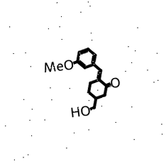 COc1cccc(C=C2CCC(CO)CC2=O)c1